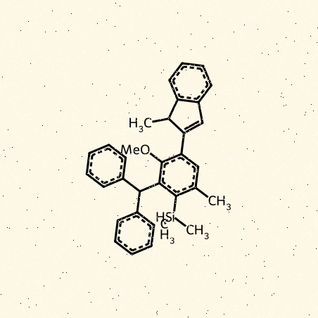 COc1c(C2=Cc3ccccc3C2C)cc(C)c([SiH](C)C)c1C(c1ccccc1)c1ccccc1